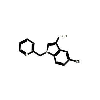 N#Cc1ccc2c(c1)c(C(=O)O)cn2Cc1ccccn1